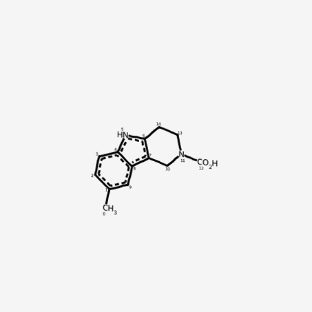 Cc1ccc2[nH]c3c(c2c1)CN(C(=O)O)CC3